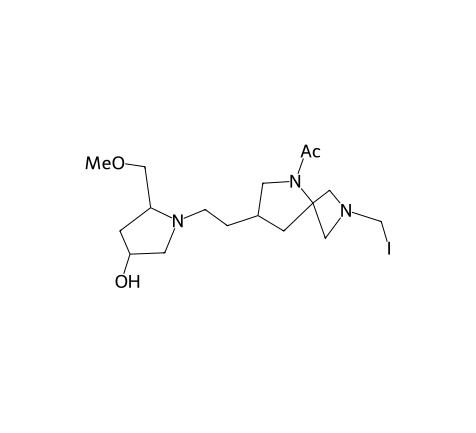 COCC1CC(O)CN1CCC1CN(C(C)=O)C2(C1)CN(CI)C2